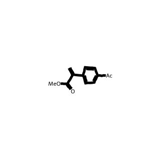 C=C(C(=O)OC)c1ccc(C(C)=O)cc1